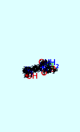 CC(C)Oc1ccc(C(=O)NCC(CNC(=O)C(C)(C)N)c2ccc(-c3cn4cccc(C(C)O)c4n3)cc2)cc1Cl